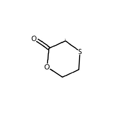 O=C1[CH]SCCO1